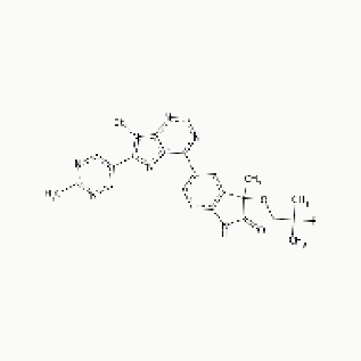 CCn1c(-c2cnc(C)nc2)nc2c(-c3ccc4c(c3)C(C)(OCC(C)(C)F)C(=O)N4)ncnc21